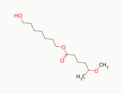 COC(C)CCCC(=O)OCCCCCCCO